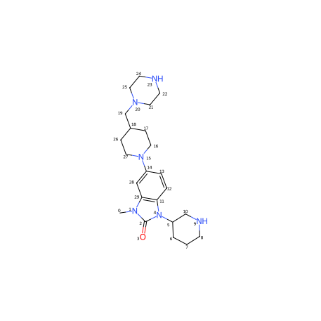 Cn1c(=O)n(C2CCCNC2)c2ccc(N3CCC(CN4CCNCC4)CC3)cc21